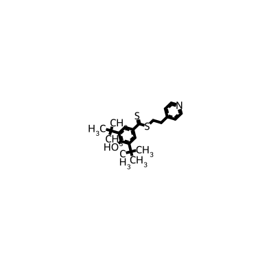 CC(C)(C)c1cc(C(=S)SCCc2ccncc2)cc(C(C)(C)C)c1O